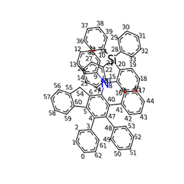 c1ccc(-c2c3c(c(N(c4ccccc4)c4ccccc4[Si](c4ccccc4)(c4ccccc4)c4ccccc4)c(-c4ccccc4)c2-c2ccccc2)Cc2ccccc2-3)cc1